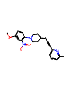 COc1ccc(N2CCC(=CC#Cc3cccc(C)n3)CC2)c([N+](=O)[O-])c1